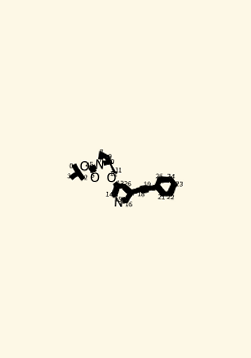 CC(C)(C)OC(=O)N1CC[C@H]1COc1cncc(C#Cc2ccccc2)c1